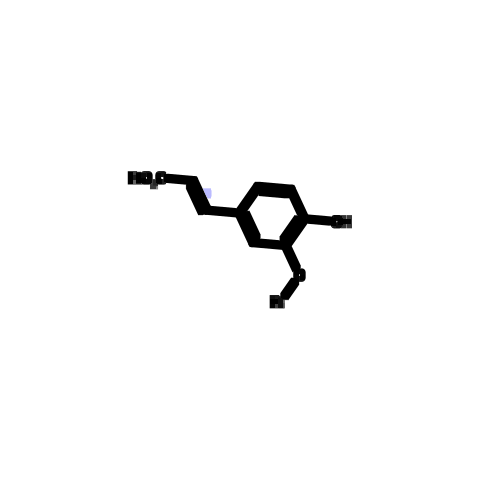 CCOC(=O)/C=C/c1ccc(O)c(OCC)c1